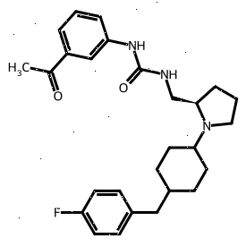 CC(=O)c1cccc(NC(=O)NC[C@H]2CCCN2C2CCC(Cc3ccc(F)cc3)CC2)c1